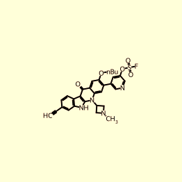 C#Cc1ccc2c(c1)[nH]c1c2c(=O)c2cc(OCCCC)c(-c3cncc(OS(=O)(=O)F)c3)cc2n1C1CN(C)C1